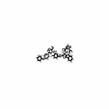 CCC(=O)N[C@H](Cc1ccc(CNC(=O)[C@](C)(NC(=O)c2ccnn2C(C)C)C2Cc3ccccc3C2)cc1)C(=O)N1CCN(Cc2ccccc2)CC1